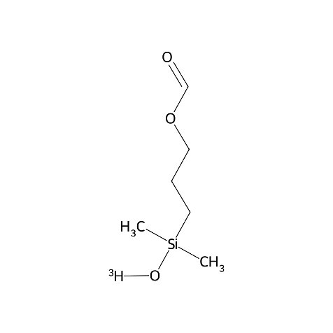 [3H]O[Si](C)(C)CCCOC=O